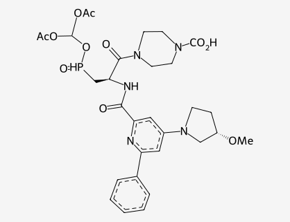 CO[C@H]1CCN(c2cc(C(=O)N[C@@H](C[PH](=O)OC(OC(C)=O)OC(C)=O)C(=O)N3CCN(C(=O)O)CC3)nc(-c3ccccc3)c2)C1